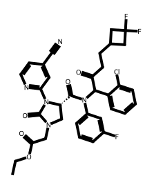 CCOC(=O)CN1C[C@@H](C(=O)N(c2cccc(F)c2)C(C(=O)CCC2CC(F)(F)C2)c2ccccc2Cl)N(c2cc(C#N)ccn2)C1=O